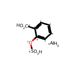 O=C(O)c1ccccc1OS(=O)(=O)O.[AlH3]